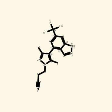 Cc1nn(CCC#N)c(C)c1-c1cc(C(F)(F)F)cc2[nH]ncc12